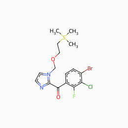 CS(C)(C)CCOCn1ccnc1C(=O)c1ccc(Br)c(Cl)c1F